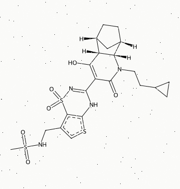 CS(=O)(=O)NCc1csc2c1S(=O)(=O)N=C(C1=C(O)[C@@H]3[C@@H]4CC[C@@H](C4)[C@@H]3N(CCC3CC3)C1=O)N2